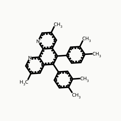 Cc1cnc2c(c1)c(-c1ccc(C)c(C)c1)c(-c1ccc(C)c(C)c1)c1cc(C)cnc12